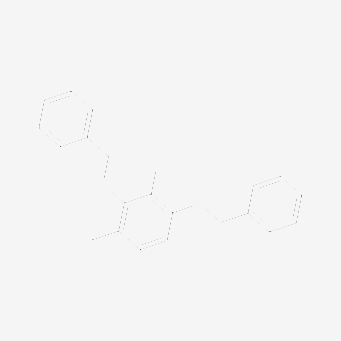 Fc1c(OCc2ccccc2)ccc(I)c1OCc1ccccc1